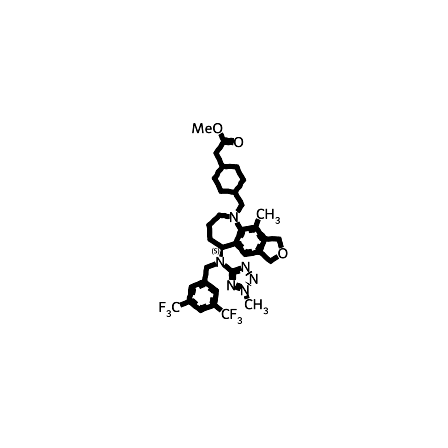 COC(=O)CC1CCC(CN2CCC[C@H](N(Cc3cc(C(F)(F)F)cc(C(F)(F)F)c3)c3nnn(C)n3)c3cc4c(c(C)c32)COC4)CC1